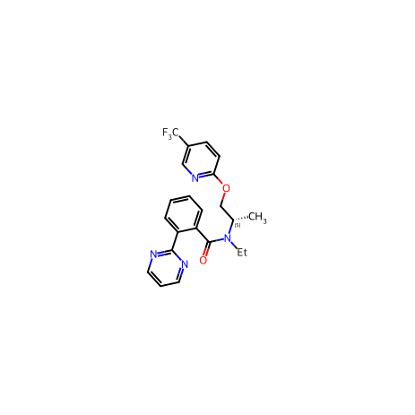 CCN(C(=O)c1ccccc1-c1ncccn1)[C@@H](C)COc1ccc(C(F)(F)F)cn1